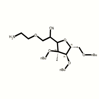 CCCCOC[C@H]1OC(C(C#N)COCCN)[C@](C)(OCCCC)[C@@H]1OCCCC